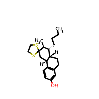 CCCC[C@@H]1[C@@H]2CCc3cc(O)ccc3[C@H]2CC2(SCCS2)[C@H]1C